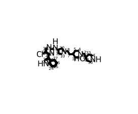 OC1(CN2CCC(CCN3CC[C@@H](Nc4ncc(Cl)c(-c5c[nH]c6ccccc56)n4)C3)CC2)CCNCC1